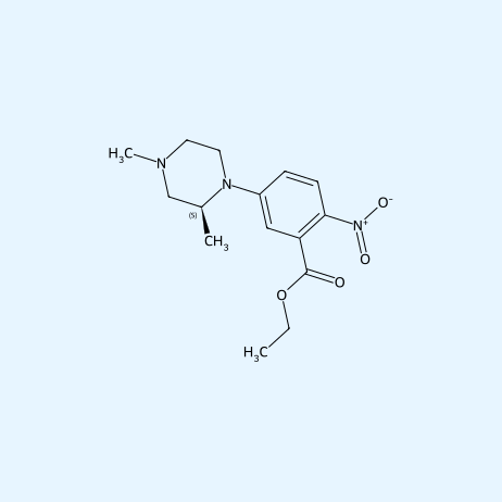 CCOC(=O)c1cc(N2CCN(C)C[C@@H]2C)ccc1[N+](=O)[O-]